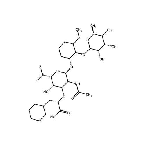 CCC1CCC[C@@H](O[C@@H]2O[C@@H](C(F)F)[C@@H](O)C(O[C@@H](CC3CCCCC3)C(=O)O)C2NC(C)=O)[C@@H]1OC1O[C@@H](C)C(O)[C@H](O)[C@@H]1O